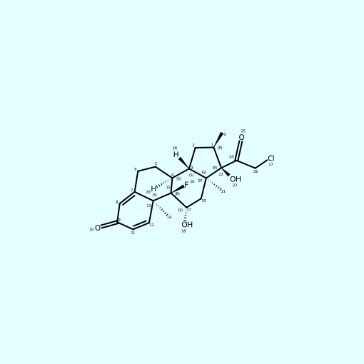 C[C@@H]1C[C@H]2[C@@H]3CCC4=CC(=O)C=C[C@]4(C)[C@@]3(F)[C@@H](O)C[C@]2(C)[C@@]1(O)C(=O)CCl